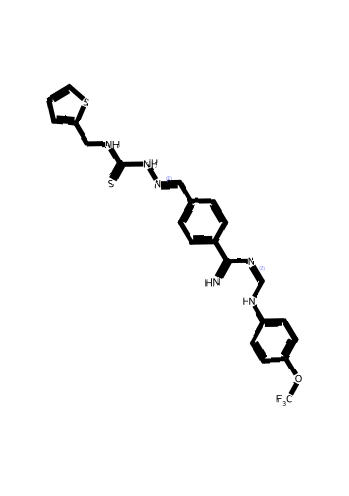 N=C(/N=C\Nc1ccc(OC(F)(F)F)cc1)c1ccc(/C=N/NC(=S)NCc2cccs2)cc1